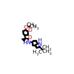 CC1(C)Oc2ccc(C3(C(=O)Nc4ccc5[nH]c(C(C)(C)C)cc5c4)CC3)cc2O1